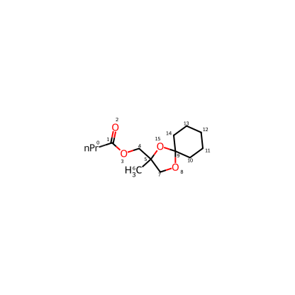 CCCC(=O)OCC1(C)COC2(CCCCC2)O1